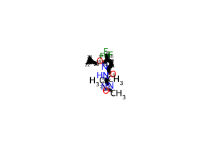 Cc1nc(C(C)(C)NC(=O)c2ccc(C(F)(F)F)c(OCC3CC3)n2)no1